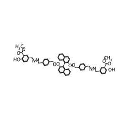 COC(=O)c1cc(/C=N/N=C/c2ccc(COOc3ccc4ccccc4c3-c3c(OOCc4ccc(/C=N/N=C/c5ccc(O)c(C(=O)OC)c5)cc4)ccc4ccccc34)cc2)ccc1O